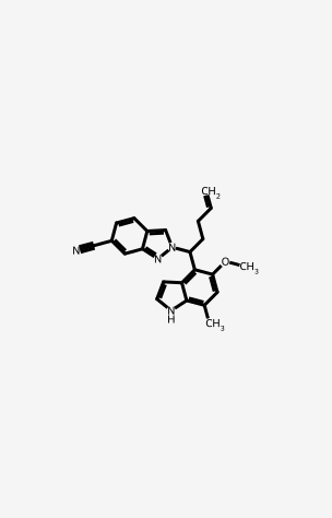 C=CCCC(c1c(OC)cc(C)c2[nH]ccc12)n1cc2ccc(C#N)cc2n1